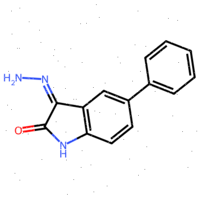 N/N=C1\C(=O)Nc2ccc(-c3ccccc3)cc21